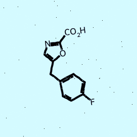 O=C(O)c1ncc(Cc2ccc(F)cc2)o1